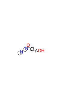 CC1CCCN(C2CCN(C(=O)c3ccc(C(C)(C)CO)cc3)CC2)C1